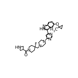 CC1(Oc2ccc3n[nH]c(-c4cc(N5CCN(CC6(F)CCN(C(=O)C7CNC7)CC6)CC5)ncn4)c3c2)CC1